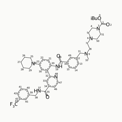 CC(C)COC(=O)N1CCN(CCN(C)Cc2cccc(C(=O)Nc3ccc(N4CCCCC4)cc3-c3cc(C(=O)NCc4cccc(C(F)(F)F)c4)ccn3)c2)CC1